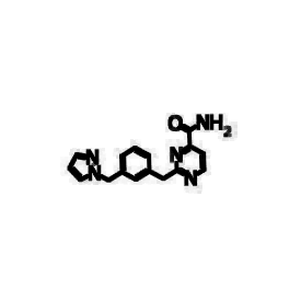 NC(=O)c1ccnc(Cc2cccc(Cn3cccn3)c2)n1